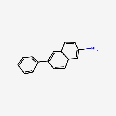 NC1=CC2C=CC(c3ccccc3)=CC2C=C1